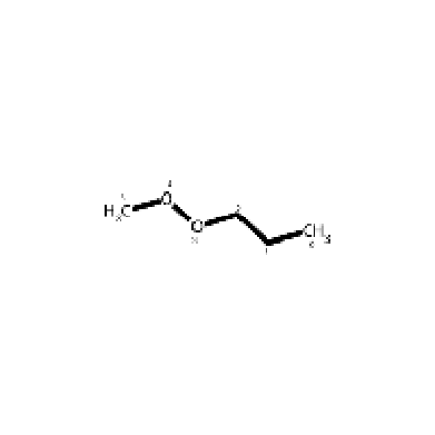 CCCOOC